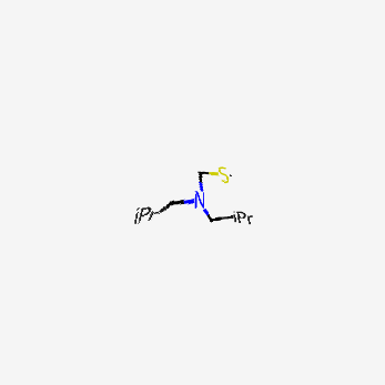 CC(C)CN(C[S])CC(C)C